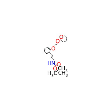 CC(C)(C)OC(=O)NC/C=C/c1ccccc1OCCOC1CCCCO1